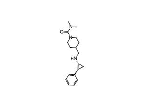 CN(C)C(=O)N1CCC(CN[C@@H]2C[C@H]2c2ccccc2)CC1